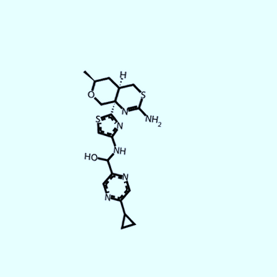 C[C@H]1C[C@H]2CSC(N)=N[C@@]2(c2nc(NC(O)c3cnc(C4CC4)cn3)cs2)CO1